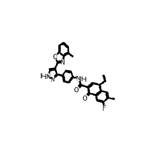 CCC1C=C(C(=O)Nc2ccc(-c3n[nH]cc3-c3nc4c(C)cccc4o3)cc2)C(=O)c2cc(F)c(C)cc21